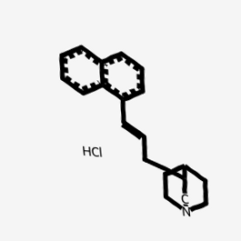 C(=C\c1cccc2ccccc12)/CC1CN2CCC1CC2.Cl